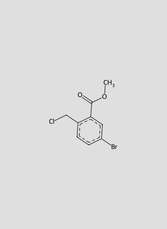 COC(=O)c1cc(Br)ccc1CCl